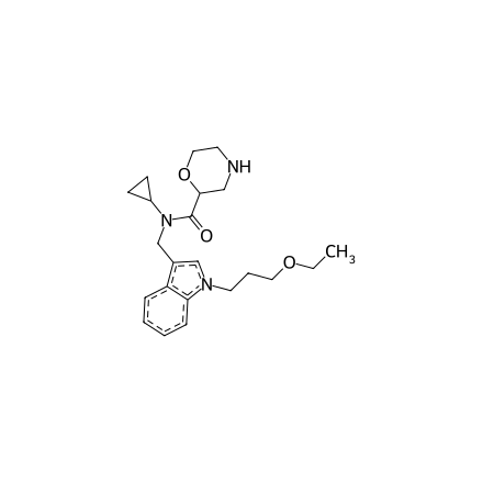 CCOCCCn1cc(CN(C(=O)C2CNCCO2)C2CC2)c2ccccc21